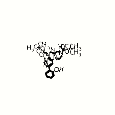 CC(C)(C)OC(=O)N1CCN2c3cc(-c4ccccc4O)nnc3N(C(=O)OC(C)(C)C)C[C@H]2C1